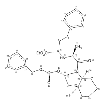 CCOC(=O)[C@H](CCc1ccccc1)N[C@@H](C)C(=O)N1[C@@H](OC(=O)OCc2ccccc2)C[C@@H]2CCCC[C@@H]21